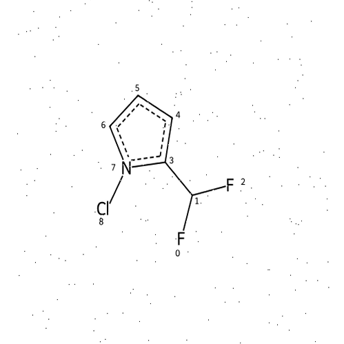 FC(F)c1cccn1Cl